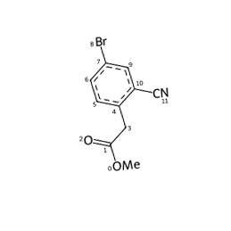 COC(=O)Cc1ccc(Br)cc1C#N